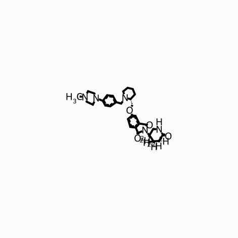 [2H]C1([2H])C(=O)NC(=O)C([2H])(N2Cc3cc(OC[C@H]4CCCCN4Cc4ccc(N5CCN(C)CC5)cc4)ccc3C2=O)C1([2H])[2H]